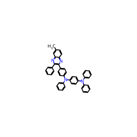 Cc1ccc2nc(-c3ccc(N(c4ccccc4)c4ccc(N(c5ccccc5)c5ccccc5)cc4)cc3)c(-c3ccccc3)nc2c1